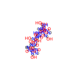 O=C(O)CNC(=O)[C@@H]1CCCN1C(=O)[C@@H]1C[C@@H](O)CN1C(=O)CNC(=O)[C@@H]1CCCN1C(=O)[C@@H]1C[C@@H](O)CN1C(=O)CNC(=O)[C@@H]1CCCN1C(=O)[C@@H]1C[C@@H](O)CN1C(=O)CNC(=O)[C@@H]1CCCN1C(=O)[C@@H]1C[C@@H](O)CN1C(=O)CNC(=O)[C@@H]1CCCN1C(=O)[C@@H]1C[C@@H](O)CN1C(=O)CNC(=O)[C@@H]1CCCN1C(=O)[C@@H]1C[C@@H](O)CN1C(=O)CNC(=O)[C@@H]1CCCN1C(=O)[C@@H]1C[C@@H](O)CN1